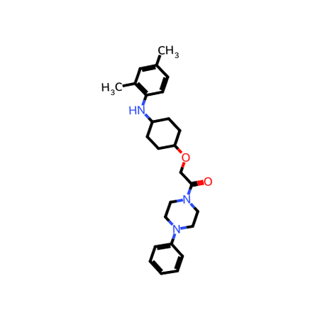 Cc1ccc(NC2CCC(OCC(=O)N3CCN(c4ccccc4)CC3)CC2)c(C)c1